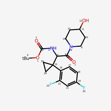 CC(C)(C)OC(=O)NC(C(=O)N1CCC(O)CC1)C1(c2ccc(F)cc2F)CC1